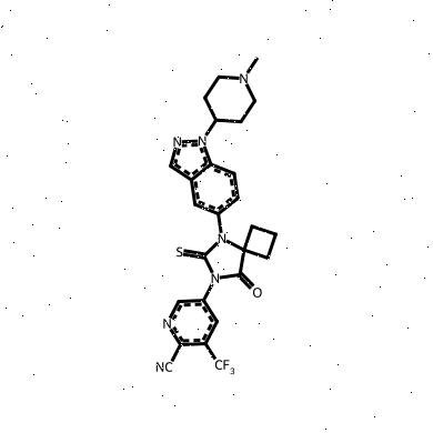 CN1CCC(n2ncc3cc(N4C(=S)N(c5cnc(C#N)c(C(F)(F)F)c5)C(=O)C45CCC5)ccc32)CC1